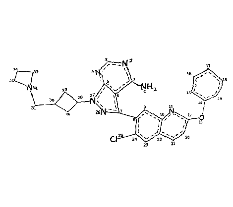 Nc1ncnc2c1c(-c1cc3nc(Oc4ccccc4)ccc3cc1Cl)nn2C1CC(CN2CCC2)C1